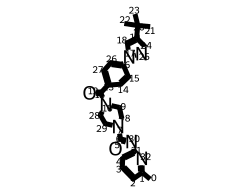 Cc1ccc2oc(N3CCN(C(=O)c4ccc(-n5cc(C(C)(C)C)cn5)cc4)CC3)nc2n1